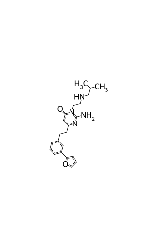 CC(C)CNCCn1c(N)nc(CCc2cccc(-c3ccco3)c2)cc1=O